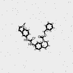 Cn1ccc2cc(NC(=O)Nc3ccc4c(c3)N(C(=O)OCc3ccccc3)CCC4)ccc21